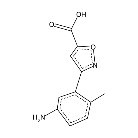 Cc1ccc(N)cc1-c1cc(C(=O)O)on1